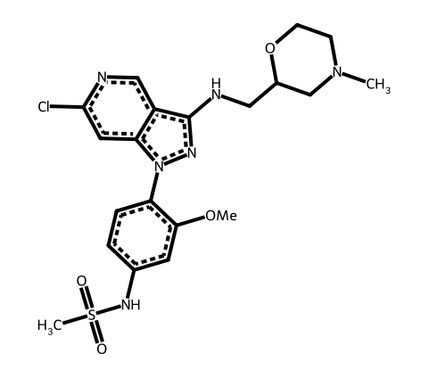 COc1cc(NS(C)(=O)=O)ccc1-n1nc(NCC2CN(C)CCO2)c2cnc(Cl)cc21